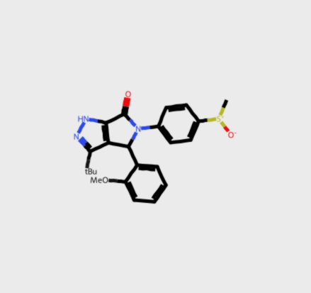 COc1ccccc1C1c2c(C(C)(C)C)n[nH]c2C(=O)N1c1ccc([S+](C)[O-])cc1